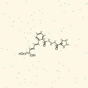 CCCCCCCCC(O)C=CC=Cc1ccccc1C(=O)CCCC(=O)N1CCCC1